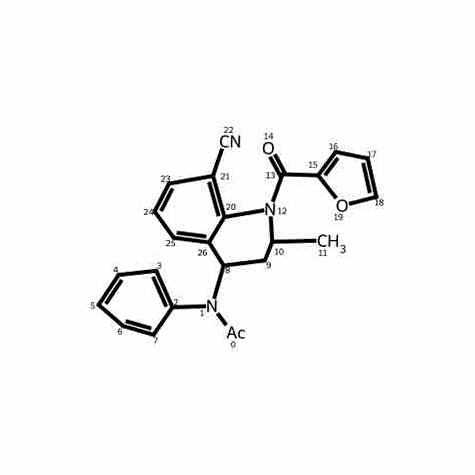 CC(=O)N(c1ccccc1)C1CC(C)N(C(=O)c2ccco2)c2c(C#N)cccc21